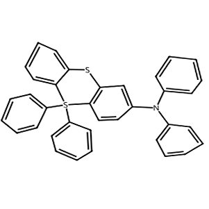 c1ccc(N(c2ccccc2)c2ccc3c(c2)Sc2ccccc2S3(c2ccccc2)c2ccccc2)cc1